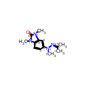 CC(C)=NN(C)c1ccc2c(c1)n(C)c(=O)n2C